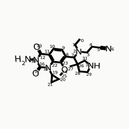 CCN(CCC#N)C(c1ccc2c(=O)n(N)c(=O)n(C3CC3)c2c1OC)C1(C)CCNC1